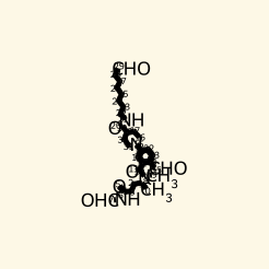 CC(CCC(=O)NC=O)N(C)C(=O)c1cc(N2CCC(C(=O)NCCCCCCCC=O)CC2)ccc1C=O